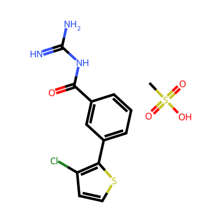 CS(=O)(=O)O.N=C(N)NC(=O)c1cccc(-c2sccc2Cl)c1